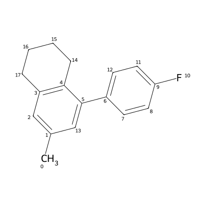 Cc1cc2c(c(-c3ccc(F)cc3)c1)CCCC2